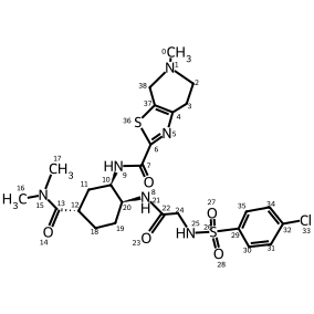 CN1CCc2nc(C(=O)N[C@@H]3C[C@@H](C(=O)N(C)C)CC[C@@H]3NC(=O)CNS(=O)(=O)c3ccc(Cl)cc3)sc2C1